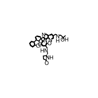 COc1nc(C2(c3cc4ncc(CNCC(C)O)cc4cn3)C=CC=C(c3ccccc3Cl)C2Cl)ccc1CNC[C@@H]1CCC(=O)N1